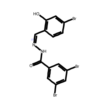 O=C(N/N=C\c1ccc(Br)cc1O)c1cc(Br)cc(Br)c1